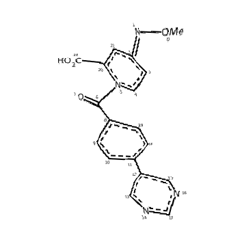 CON=c1ccn(C(=O)c2ccc(-c3cncnc3)cc2)c(C(=O)O)c1